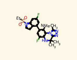 CCS(=O)(=O)n1ccc2c(-c3cc(F)c4c(c3NC)-n3c(C)nnc3C(C)(C)N4)cc(F)cc21